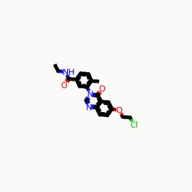 CCNC(=O)c1ccc(C)c(-n2cnc3ccc(OCCCl)cc3c2=O)c1